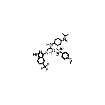 CSc1ccc(S(=O)(=O)C[C@@H]2C[C@H](N(C)C(C)C)CCC2NC(=O)CNc2n[nH]c3ccc(C(F)(F)F)cc23)cc1